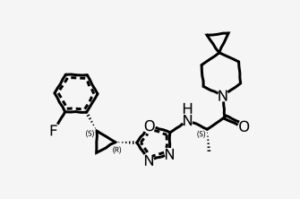 C[C@H](Nc1nnc([C@@H]2C[C@@H]2c2ccccc2F)o1)C(=O)N1CCC2(CC1)CC2